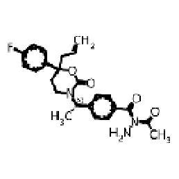 C=CCC1(c2ccc(F)cc2)CCN([C@@H](C)c2ccc(C(=O)N(N)C(C)=O)cc2)C(=O)O1